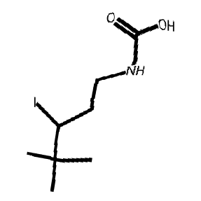 CC(C)(C)C(I)CCNC(=O)O